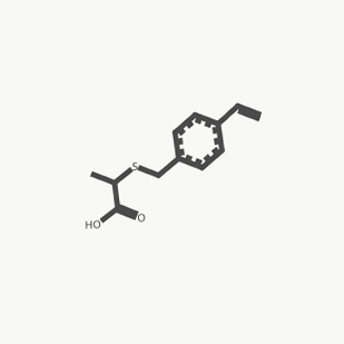 C=Cc1ccc(CSC(C)C(=O)O)cc1